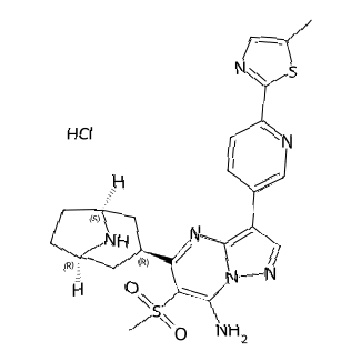 Cc1cnc(-c2ccc(-c3cnn4c(N)c(S(C)(=O)=O)c([C@H]5C[C@H]6CC[C@@H](C5)N6)nc34)cn2)s1.Cl